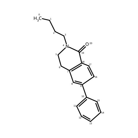 CCCCN1CCc2cc(-c3ccccc3)ccc2C1=O